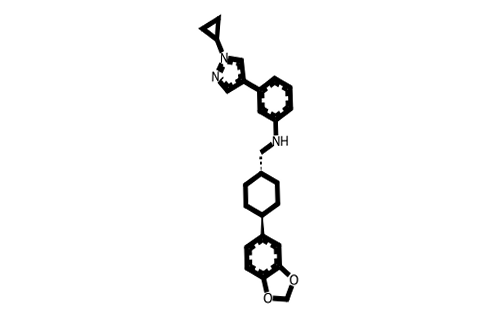 c1cc(NC[C@H]2CC[C@H](c3ccc4c(c3)OCO4)CC2)cc(-c2cnn(C3CC3)c2)c1